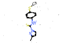 Cc1ccn(C(=S)Nc2ccc(SC#N)cc2)n1